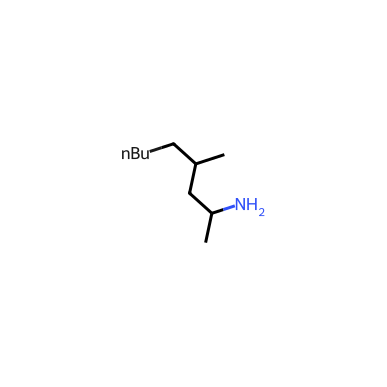 CCCCCC(C)CC(C)N